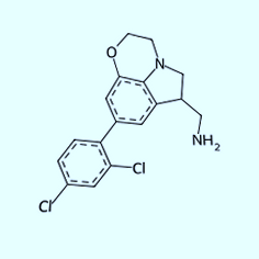 NCC1CN2CCOc3cc(-c4ccc(Cl)cc4Cl)cc1c32